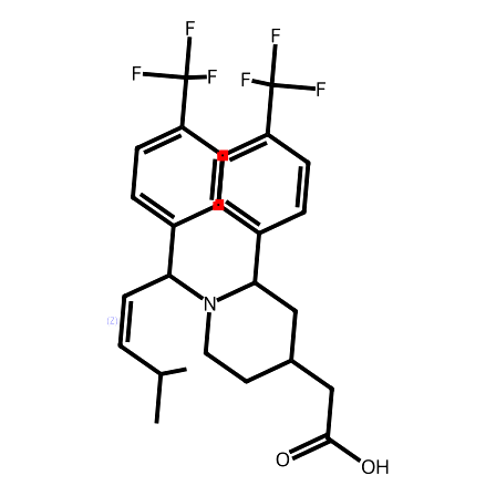 CC(C)/C=C\C(c1ccc(C(F)(F)F)cc1)N1CCC(CC(=O)O)CC1c1ccc(C(F)(F)F)cc1